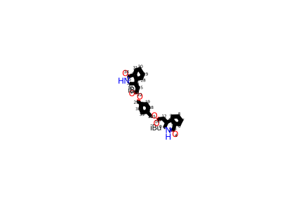 CC[C@H](C)C1NC(=O)c2ccccc2/C1=C/C(=O)OCc1ccc(COC(=O)/C=C2/c3ccccc3C(=O)N[C@H]2[C@@H](C)CC)cc1